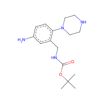 CC(C)(C)OC(=O)NCc1cc(N)ccc1N1CCNCC1